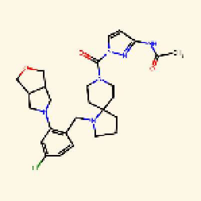 CC(=O)Nc1ccn(C(=O)N2CCC3(CCCN3Cc3ccc(Cl)cc3N3CC4COCC4C3)CC2)n1